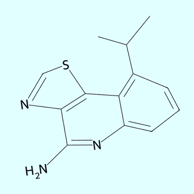 CC(C)c1cccc2nc(N)c3ncsc3c12